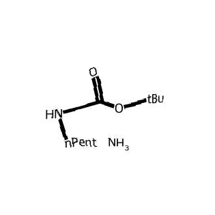 CCCCCNC(=O)OC(C)(C)C.N